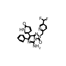 Nc1nc(-c2ccccc2)c(-c2ccc(=O)[nH]c2)c2nn(Cc3ccc(C(F)F)cn3)c(=O)n12